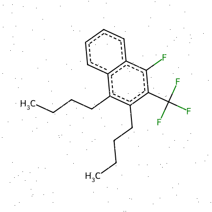 CCCCc1c(C(F)(F)F)c(F)c2ccccc2c1CCCC